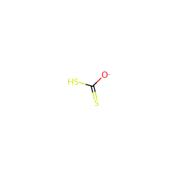 [O]C(=S)S